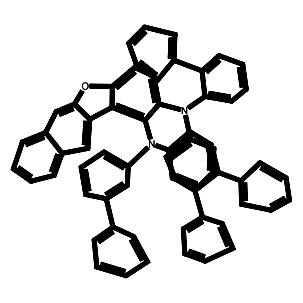 c1ccc(-c2ccc(N(c3ccccc3-c3ccccc3)c3ccc4oc5cc6ccccc6cc5c4c3N(c3ccc(-c4ccccc4)cc3)c3cccc(-c4ccccc4)c3)cc2)cc1